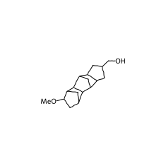 COC1CC2CC1C1C3CC(C4CC(CO)CC43)C21